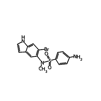 CN(c1cc2cc[nH]c2cc1Br)S(=O)(=O)c1ccc(N)cc1